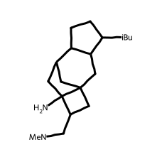 CCC(C)C1CCC2C3CC4(CC12)CC(CNC)C4(N)C3